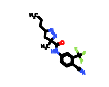 CCCC1CC(C)(C(=O)Nc2ccc(C#N)c(C(F)(F)F)c2)N=N1